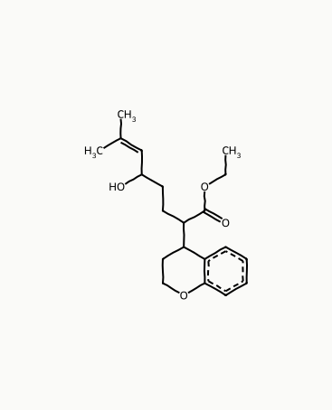 CCOC(=O)C(CCC(O)C=C(C)C)C1CCOc2ccccc21